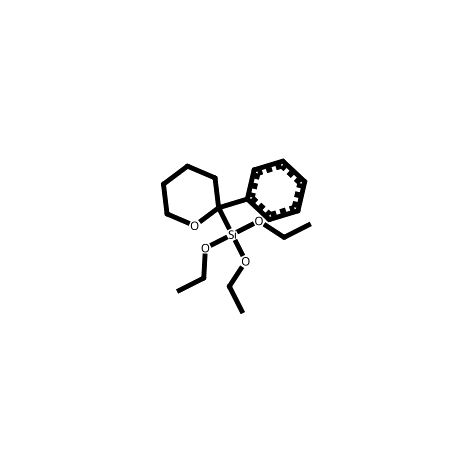 CCO[Si](OCC)(OCC)C1(c2ccccc2)CCCCO1